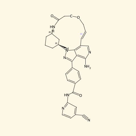 N#Cc1ccnc(NC(=O)c2ccc(-c3nn4c5c(cnc(N)c35)/C=C/COCCC(=O)N[C@@H]3CCC[C@@H]4C3)cc2)c1